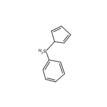 C1=CC([SiH2]c2ccccc2)C=C1